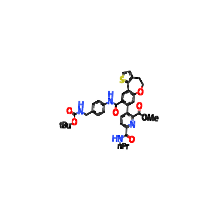 CCCNC(=O)c1ccc(-c2cc3c(cc2C(=O)Nc2ccc(CNC(=O)OC(C)(C)C)cc2)-c2sccc2CCO3)c(C(=O)OC)n1